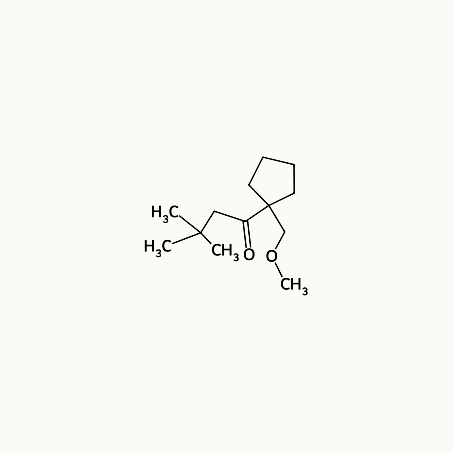 COCC1(C(=O)CC(C)(C)C)CCCC1